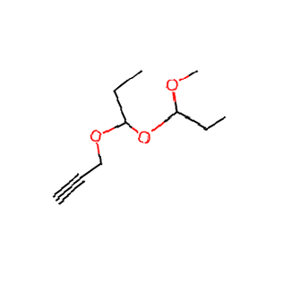 C#CCOC(CC)OC(CC)OC